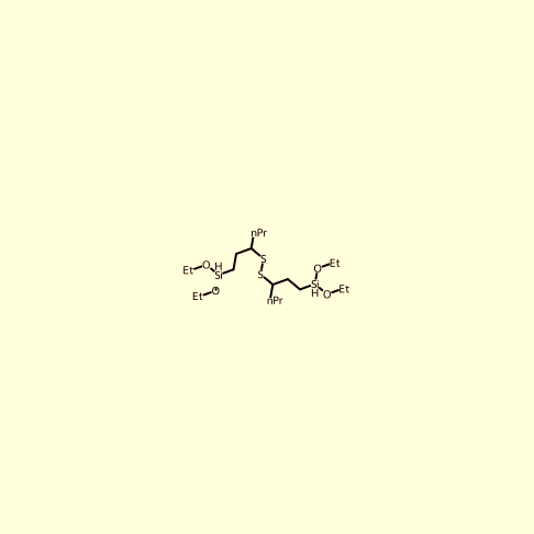 CCCC(CC[SiH](OCC)OCC)SSC(CCC)CC[SiH](OCC)OCC